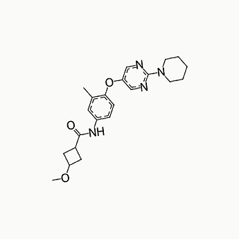 COC1CC(C(=O)Nc2ccc(Oc3cnc(N4CCCCC4)nc3)c(C)c2)C1